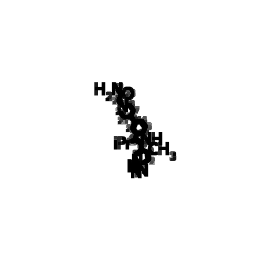 Cc1cc2nnnn2cc1-c1[nH]c2ccc(C3CCN(CC(N)=O)CC3)cc2c1C(C)C